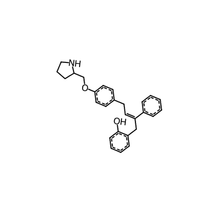 Oc1ccccc1CC(=CCc1ccc(OCC2CCCN2)cc1)c1ccccc1